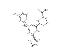 CCC(=O)N1CCCC(c2nc(Nc3cccc(F)c3)cc(-c3ncco3)n2)C1